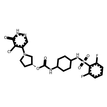 O=C(NC1CCC(NS(=O)(=O)c2c(F)cccc2F)CC1)O[C@@H]1CCN(c2cn[nH]c(=O)c2Cl)C1